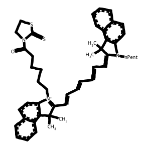 CCCCCN1/C(=C/C=C/C=C/C=C/C2=[N+](CCCCCC(=O)N3CCSC3=S)c3ccc4ccccc4c3C2(C)C)C(C)(C)c2c1ccc1ccccc21